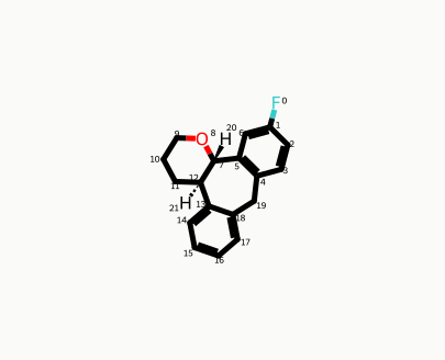 Fc1ccc2c(c1)[C@H]1OCCC[C@@H]1c1ccccc1C2